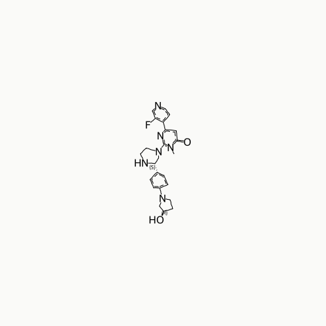 Cn1c(N2CCN[C@@H](c3ccc(N4CC[C@@H](O)C4)cc3)C2)nc(-c2ccncc2F)cc1=O